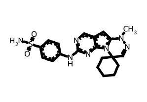 CN1N=CC2(CCCCC2)n2c1cc1cnc(Nc3ccc(S(N)(=O)=O)cc3)nc12